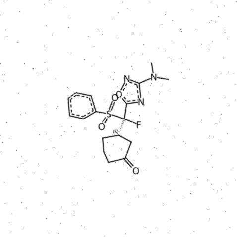 CN(C)c1noc(C(F)([C@H]2CCCC(=O)C2)S(=O)(=O)c2ccccc2)n1